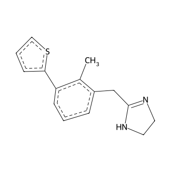 Cc1c(CC2=NCCN2)cccc1-c1cccs1